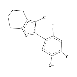 Oc1cc(-c2nn3c(c2Cl)CCCC3)c(F)cc1Cl